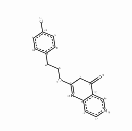 O=C1CC(OCCc2ccc(Cl)cc2)=Nc2ccncc21